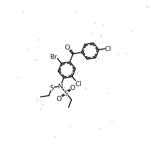 CCSN(c1cc(Br)c(C(=O)c2ccc(Cl)cc2)cc1Cl)S(=O)(=O)CC